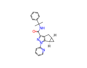 CC(C)(NC(=O)c1nn(-c2ccccn2)c2c1C[C@H]1C[C@@H]21)c1ccccc1